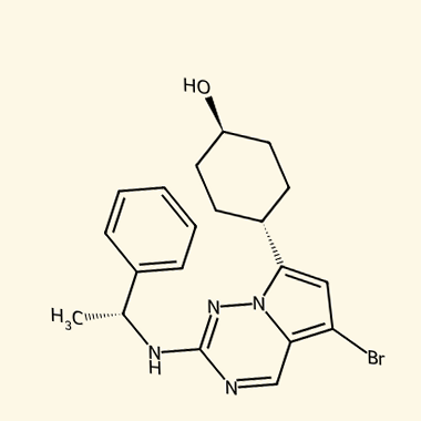 C[C@@H](Nc1ncc2c(Br)cc([C@H]3CC[C@H](O)CC3)n2n1)c1ccccc1